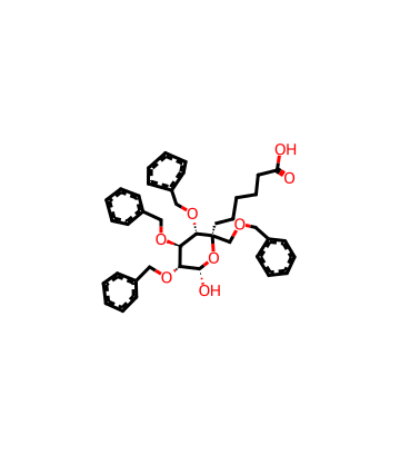 O=C(O)CCCCC[C@]1(COCc2ccccc2)O[C@H](O)[C@H](OCc2ccccc2)[C@@H](OCc2ccccc2)[C@@H]1OCc1ccccc1